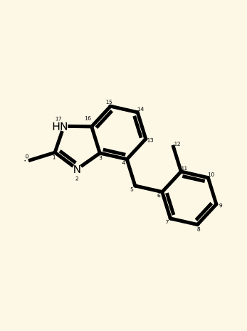 [CH2]c1nc2c(Cc3ccccc3C)cccc2[nH]1